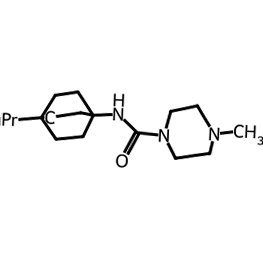 CC(C)C12CCC(NC(=O)N3CCN(C)CC3)(CC1)CC2